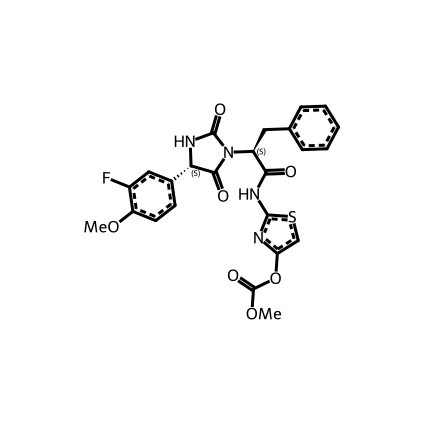 COC(=O)Oc1csc(NC(=O)[C@H](Cc2ccccc2)N2C(=O)N[C@@H](c3ccc(OC)c(F)c3)C2=O)n1